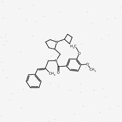 COc1ccc(C(=O)N(C/C(C)=C/c2ccccc2)CC2CCCN2C2CCC2)cc1OC